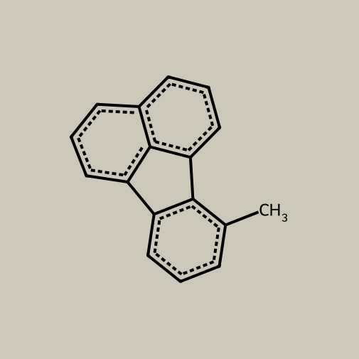 Cc1cccc2c1-c1cccc3cccc-2c13